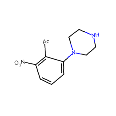 CC(=O)c1c(N2CCNCC2)cccc1[N+](=O)[O-]